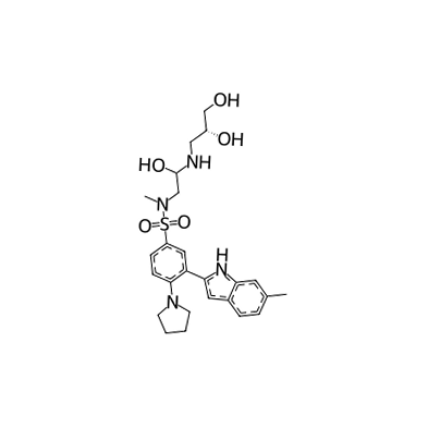 Cc1ccc2cc(-c3cc(S(=O)(=O)N(C)CC(O)NC[C@@H](O)CO)ccc3N3CCCC3)[nH]c2c1